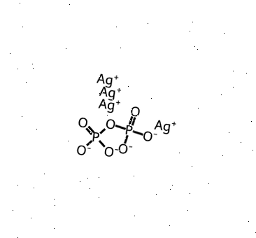 O=P([O-])([O-])OP(=O)([O-])[O-].[Ag+].[Ag+].[Ag+].[Ag+]